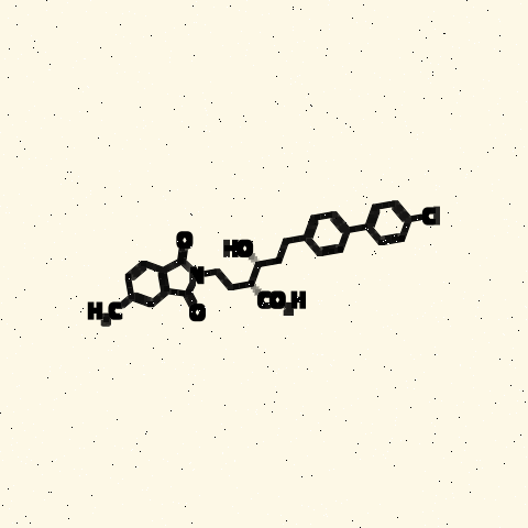 Cc1ccc2c(c1)C(=O)N(CC[C@@H](C(=O)O)[C@H](O)CCc1ccc(-c3ccc(Cl)cc3)cc1)C2=O